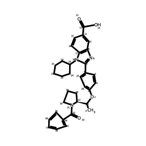 CC(Oc1ccc(-c2nc3cc(C(=O)O)ccc3n2C2CCCCC2)cc1)[C@@H]1CCCN1C(=O)c1ccccc1